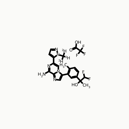 O=C(O)C(F)(F)F.[2H]C([2H])([2H])n1nccc1-c1cn2c(-c3cc(C(C)(O)C(F)F)ccc3C)cnc2c(N)n1